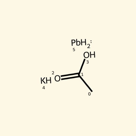 CC(=O)O.[KH].[PbH2]